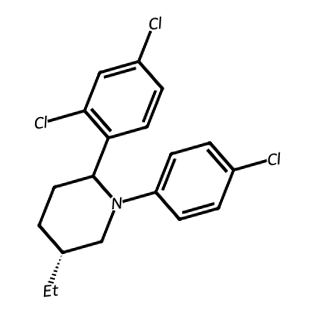 CC[C@@H]1CCC(c2ccc(Cl)cc2Cl)N(c2ccc(Cl)cc2)C1